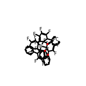 FC1=C(F)C(c2ccccc2)C(F)([B-](C2(F)C(F)=C(F)C(F)=C(F)C2c2ccccc2)(C2(F)C(F)=C(F)C(F)=C(F)C2c2ccccc2)C2(F)C(F)=C(F)C(F)=C(F)C2c2ccccc2)C(F)=C1F